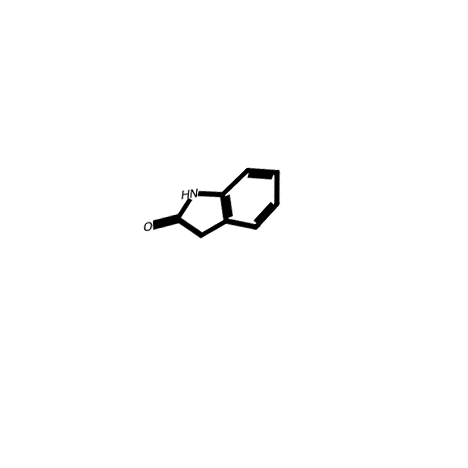 O=C1Cc2[c]cccc2N1